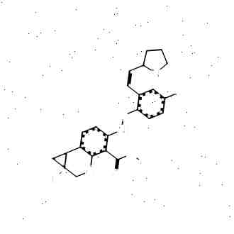 COC(=O)c1c(NSc2ccc(F)cc2/C=C\C2CCCN2)ccc2c1OC[C@@H]1CC21